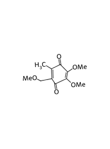 COCC1=C(C)C(=O)C(OC)=C(OC)C1=O